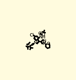 CC(C)[Si](C#Cn1cc(-c2cnn(C3CCCCO3)c2)c2c(NC(=O)OC(C)(C)C)cc(Cl)cc21)(C(C)C)C(C)C